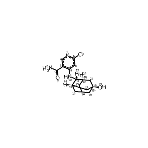 NC(=O)c1cnc(Cl)cc1N[C@@H]1[C@@H]2CC3C[C@H]1C[C@@](O)(C3)C2